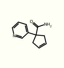 NC(=O)C1(c2cccnc2)CC=CC1